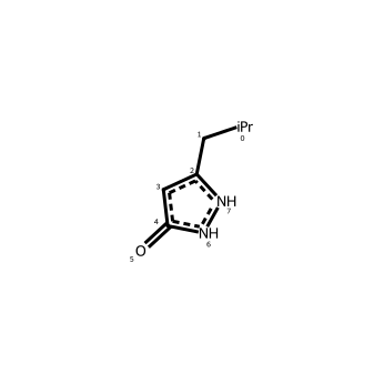 CC(C)Cc1cc(=O)[nH][nH]1